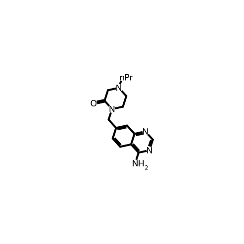 CCCN1CCN(Cc2ccc3c(N)ncnc3c2)C(=O)C1